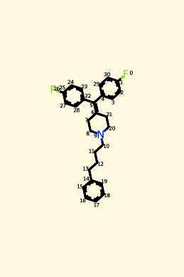 Fc1ccc(C(=C2CCN(CCCCc3ccccc3)CC2)c2ccc(F)cc2)cc1